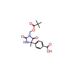 CC(C)(C)C(=O)OCN1C(=O)NC(C)(c2ccc(C(=O)O)cc2)C1=O